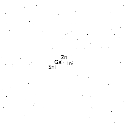 [Ga].[In].[Sn].[Zn]